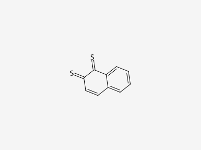 S=C1C=Cc2ccccc2C1=S